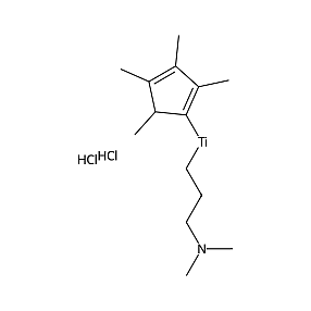 CC1=C(C)C(C)[C]([Ti][CH2]CCN(C)C)=C1C.Cl.Cl